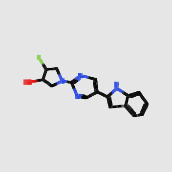 OC1CN(c2ncc(-c3cc4ccccc4[nH]3)cn2)CC1F